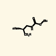 CCCCCC[C@@H](CNC(=O)OC(C)(C)C)C(=O)O